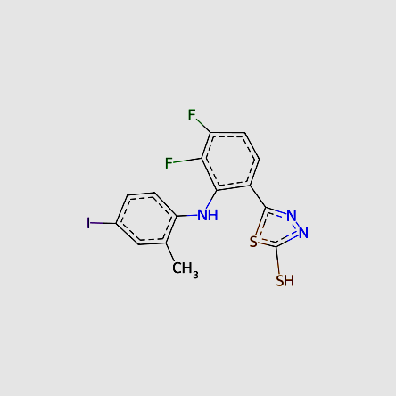 Cc1cc(I)ccc1Nc1c(-c2nnc(S)s2)ccc(F)c1F